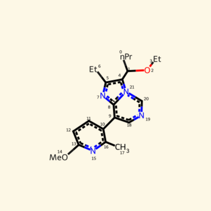 CCCC(OCC)c1c(CC)nc2c(-c3ccc(OC)nc3C)cncn12